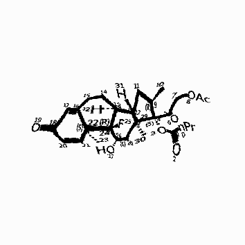 CCCC(=O)O[C@@]1(C(=O)COC(C)=O)[C@H](C)C[C@H]2[C@@H]3CCC4=CC(=O)C=C[C@]4(C)[C@@]3(F)[C@@H](O)C[C@@]21C